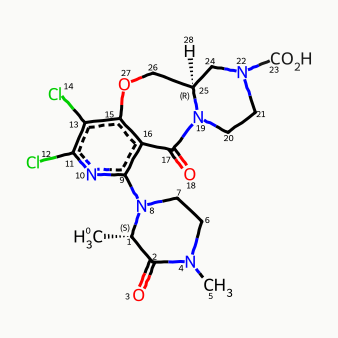 C[C@H]1C(=O)N(C)CCN1c1nc(Cl)c(Cl)c2c1C(=O)N1CCN(C(=O)O)C[C@@H]1CO2